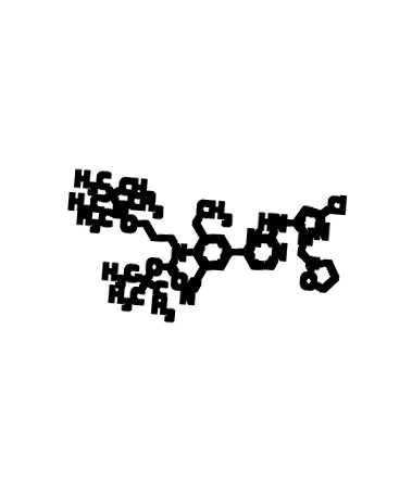 CCc1cc(-c2ccnc(Nc3cc(Cl)nn3C[C@H]3CCCO3)n2)cc(C#N)c1N(CCCO[Si](C)(C)C(C)(C)C)C(=O)OC(C)(C)C